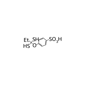 CCC(S)(S)Oc1ccc(S(=O)(=O)O)cc1